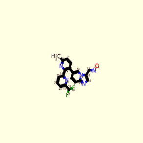 Cc1ccc(-c2ccc3ncc(CN=O)n3c2)c(-c2cccc(C(F)F)n2)n1